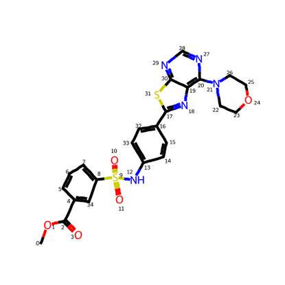 COC(=O)c1cccc(S(=O)(=O)Nc2ccc(-c3nc4c(N5CCOCC5)ncnc4s3)cc2)c1